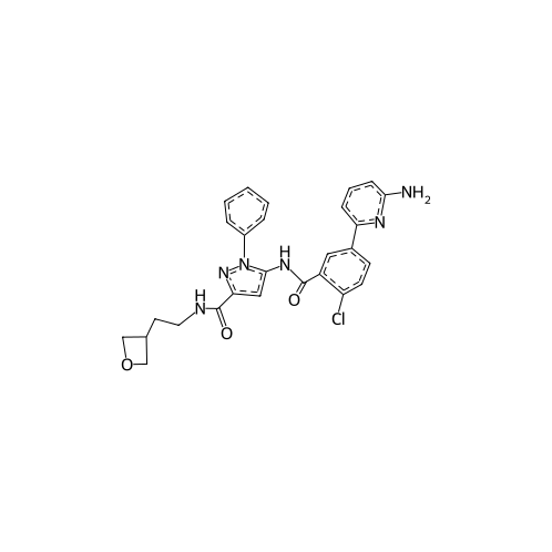 Nc1cccc(-c2ccc(Cl)c(C(=O)Nc3cc(C(=O)NCCC4COC4)nn3-c3ccccc3)c2)n1